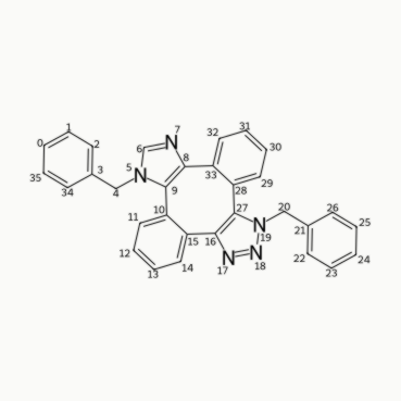 c1ccc(Cn2cnc3c2-c2ccccc2-c2nnn(Cc4ccccc4)c2-c2ccccc2-3)cc1